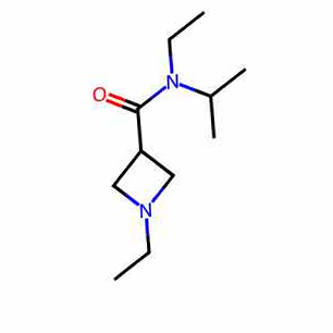 CCN1CC(C(=O)N(CC)C(C)C)C1